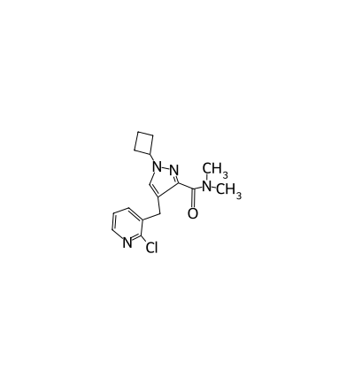 CN(C)C(=O)c1nn(C2CCC2)cc1Cc1cccnc1Cl